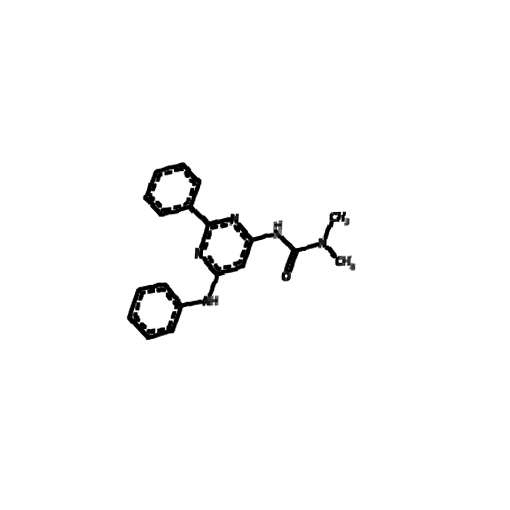 CN(C)C(=O)Nc1cc(Nc2ccccc2)nc(-c2ccccc2)n1